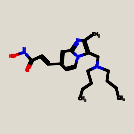 CCCCN(CCCC)Cc1c(C)nc2cc(C=CC(=O)NO)ccn12